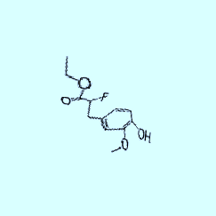 CCOC(=O)C(F)Cc1ccc(O)c(OC)c1